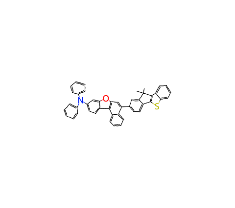 CC1(C)c2cc(-c3cc4oc5cc(N(c6ccccc6)c6ccccc6)ccc5c4c4ccccc34)ccc2-c2sc3ccccc3c21